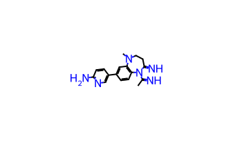 CC(=N)N1C(=N)CCN(C)c2cc(-c3ccc(N)nc3)ccc21